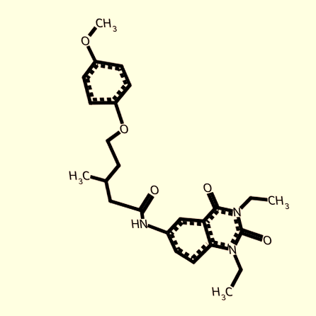 CCn1c(=O)c2cc(NC(=O)CC(C)CCOc3ccc(OC)cc3)ccc2n(CC)c1=O